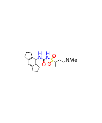 CNCCC(C)S(=O)(=O)NC(=O)Nc1c2c(cc3c1CCC3)CCC2